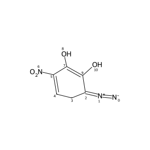 [N-]=[N+]=C1CC=C([N+](=O)[O-])C(O)=C1O